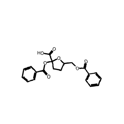 O=C(OCC1CCC(OC(=O)c2ccccc2)(C(=O)O)O1)c1ccccc1